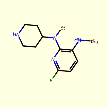 CCN(c1nc(F)ccc1NC(C)(C)C)C1CCNCC1